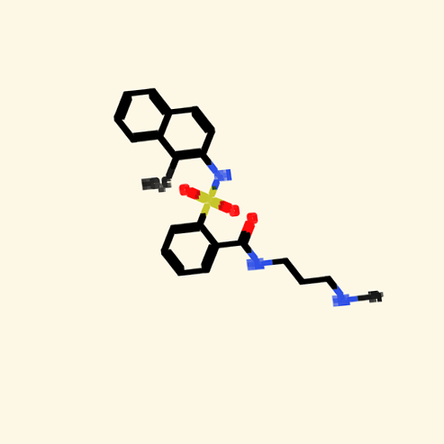 CC(C)NCCCNC(=O)c1ccccc1S(=O)(=O)Nc1ccc2ccccc2c1C(=O)O